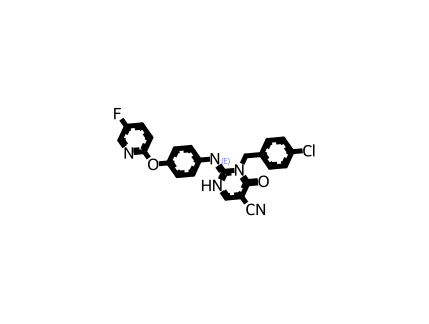 N#Cc1c[nH]/c(=N\c2ccc(Oc3ccc(F)cn3)cc2)n(Cc2ccc(Cl)cc2)c1=O